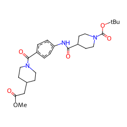 COC(=O)CC1CCN(C(=O)c2ccc(NC(=O)C3CCN(C(=O)OC(C)(C)C)CC3)cc2)CC1